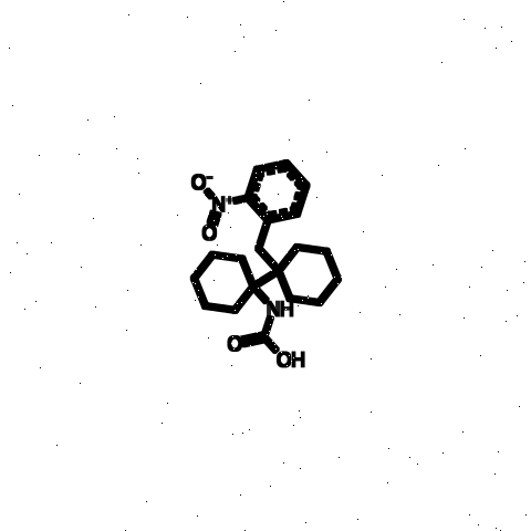 O=C(O)NC1(C2(Cc3ccccc3[N+](=O)[O-])CCCCC2)CCCCC1